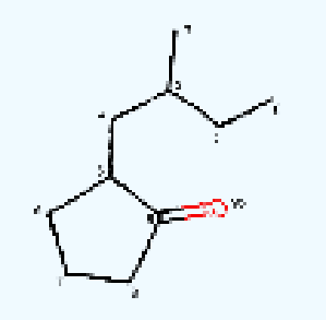 CCC(C)CC1CCCC1=O